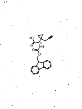 C#CCC1([C@H](NC(=O)OCC2c3ccccc3-c3ccccc32)C(=O)O)CC1